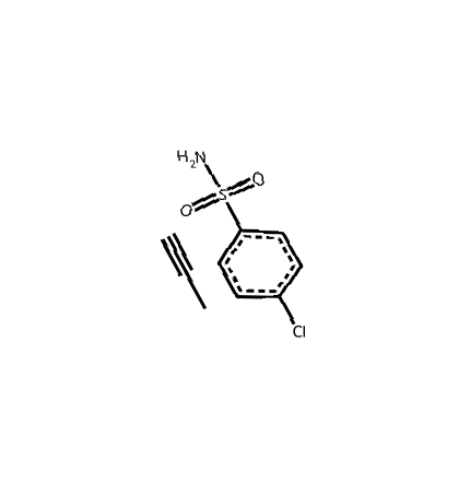 C#CC.NS(=O)(=O)c1ccc(Cl)cc1